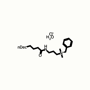 CCCCCCCCCCCCCC(=O)NCCC[N+](C)(C)Cc1ccccc1.O.[Cl-]